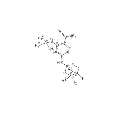 C[C@H]1CC2(Nc3ncc(C(N)=O)c(NC(C)(C)C)n3)CCC1(F)CC2